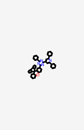 c1ccc(-c2cc(-c3nc(-c4ccccc4)nc(-c4ccc5c(c4)C4(c6ccccc6O5)c5ccccc5-c5ccccc54)n3)cc(-c3ccccc3)n2)cc1